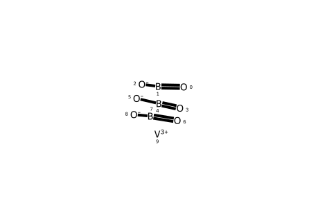 O=B[O-].O=B[O-].O=B[O-].[V+3]